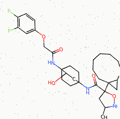 CC1CC(C(=O)NC23CCC(NC(=O)COc4ccc(F)c(F)c4)(CC2)C(O)C3)(C23CCCCCCCC2C3)ON1